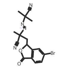 CC(C)(C#N)/N=N/C(C)(C#N)CC1OC(=O)c2ccc(Br)cc21